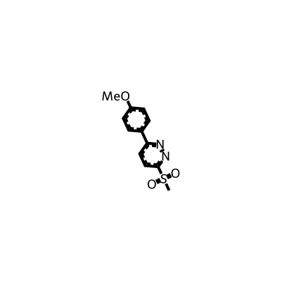 COc1ccc(-c2ccc(S(C)(=O)=O)nn2)cc1